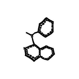 CN(c1ccccc1)c1nccc2ccccc12